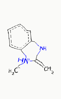 C=C1Nc2ccccc2[NH+]1[CH2-]